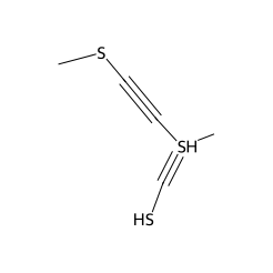 CSC#C[SH](C)#CS